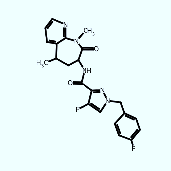 CC1CC(NC(=O)c2nn(Cc3ccc(F)cc3)cc2F)C(=O)N(C)c2ncccc21